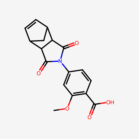 COc1cc(N2C(=O)C3C4C=CC(C4)C3C2=O)ccc1C(=O)O